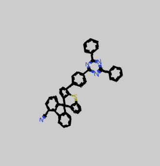 N#Cc1cccc2c1-c1ccccc1C21c2ccccc2Sc2c(-c3ccc(-c4nc(-c5ccccc5)nc(-c5ccccc5)n4)cc3)cccc21